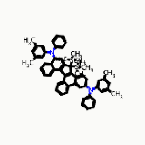 Cc1cc(C)cc(N(c2ccccc2)c2ccc3c4c(c5ccccc5c3c2)-c2c(cc(N(c3ccccc3)c3cc(C)cc(C)c3)c3ccccc23)C4([Si](C)(C)C)[Si](C)(C)C)c1